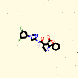 O=C(Nc1cn(-c2cc(F)cc(F)c2)cn1)c1ccnc2c1C(=O)OC21CCCCC1